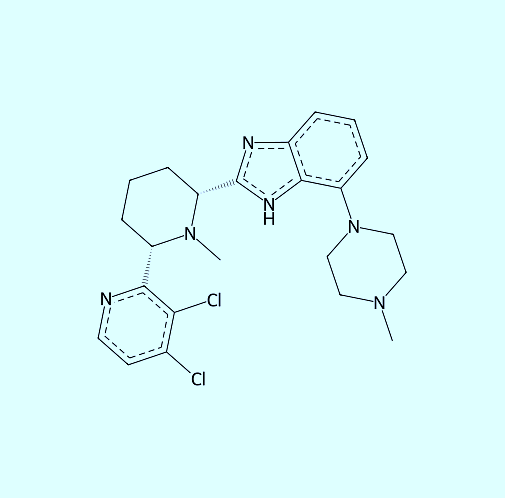 CN1CCN(c2cccc3nc([C@H]4CCC[C@@H](c5nccc(Cl)c5Cl)N4C)[nH]c23)CC1